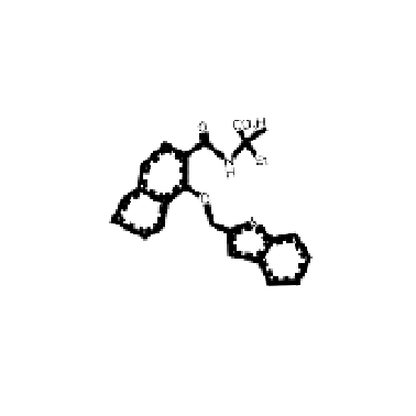 CCC(C)(NC(=O)c1ccc2ccccc2c1OCc1cc2ccccc2s1)C(=O)O